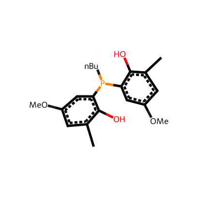 CCCCP(c1cc(OC)cc(C)c1O)c1cc(OC)cc(C)c1O